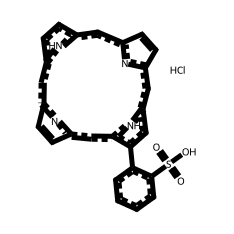 Cl.O=S(=O)(O)c1ccccc1-c1cc2cc3nc(cc4ccc(cc5nc(cc1[nH]2)C=C5)[nH]4)C=C3